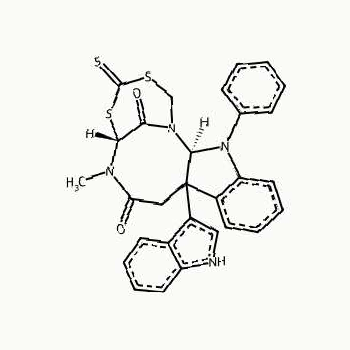 CN1C(=O)CC2(c3c[nH]c4ccccc34)c3ccccc3N(c3ccccc3)[C@@H]2N2CSC(=S)S[C@@H]1C2=O